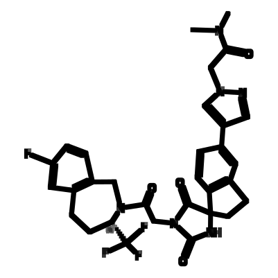 CN(C)C(=O)Cn1cc(-c2ccc3c(c2)CCC32NC(=O)N(CC(=O)N3Cc4ccc(F)cc4CC[C@H]3C(F)(F)F)C2=O)cn1